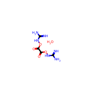 N=C(N)NOC(=O)C(=O)ONC(=N)N.O